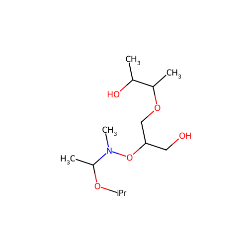 CC(C)OC(C)N(C)OC(CO)COC(C)C(C)O